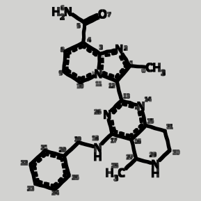 Cc1nc2c(C(N)=O)cccn2c1-c1nc2c(c(NCc3ccccc3)n1)C(C)NCC2